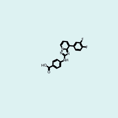 O=C(O)c1ccc(Nc2nc3c(-c4ccc(F)c(F)c4)cccn3n2)cc1